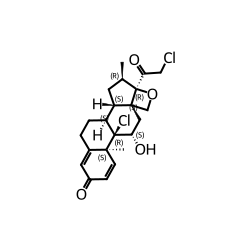 C[C@@H]1C[C@H]2[C@@H]3CCC4=CC(=O)C=C[C@]4(C)[C@@]3(Cl)[C@@H](O)C[C@@]23CO[C@]13C(=O)CCl